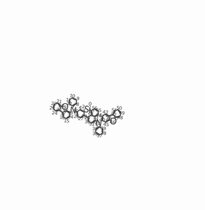 C[Si]1(C)c2cc(N(c3ccccc3)c3cccc4c3oc3ccccc34)ccc2-c2ccc(N(c3ccccc3)c3ccc4c(c3)oc3ccccc34)c3cccc1c23